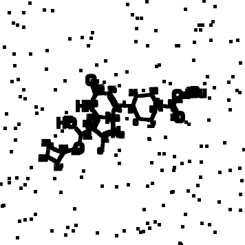 Cc1nn2c(C3CCN(C(=O)OC(C)(C)C)CC3)cc(=O)[nH]c2c1C(O)OC1CCC1